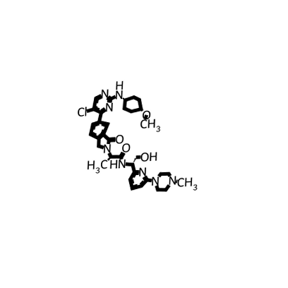 CO[C@H]1CC[C@H](Nc2ncc(Cl)c(-c3ccc4c(c3)C(=O)N([C@H](C)C(=O)N[C@H](CO)c3cccc(N5CCN(C)CC5)n3)C4)n2)CC1